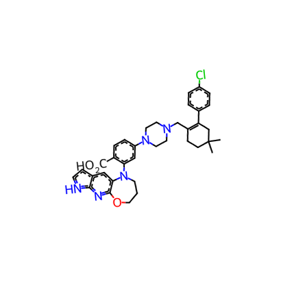 CC1(C)CCC(CN2CCN(c3ccc(C(=O)O)c(N4CCCOc5nc6[nH]ccc6cc54)c3)CC2)=C(c2ccc(Cl)cc2)C1